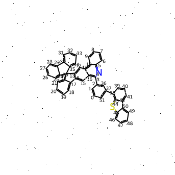 c1cc(-c2nc3ccccc3c3cc4c(cc23)-c2ccccc2C42c3ccccc3-c3ccccc32)cc(-c2cccc3c2sc2ccccc23)c1